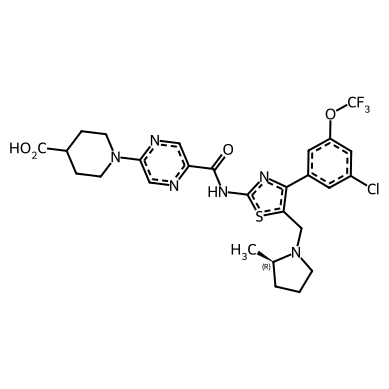 C[C@@H]1CCCN1Cc1sc(NC(=O)c2cnc(N3CCC(C(=O)O)CC3)cn2)nc1-c1cc(Cl)cc(OC(F)(F)F)c1